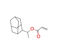 C=CC(=O)OC(C)C1C2CC3CC(C2)CC1C3